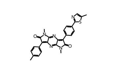 Cc1ccc(C2=c3nc4c(nc3N(C)C2=O)=C(c2ccc(-c3ncc(C)s3)cc2)C(=O)N4C)cc1